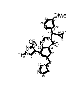 CCn1cc(-c2cc(Cn3ccnc3)cc3c(=O)n(C(c4cc(OC)ccn4)C4CC4)cnc23)c(C(F)(F)F)n1